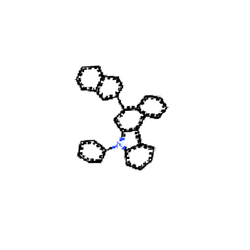 c1ccc(-n2c3ccccc3c3c4ccccc4c(-c4ccc5ccccc5c4)cc32)cc1